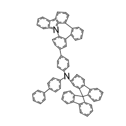 c1ccc(-c2ccc(N(c3ccc(-c4ccc5c(c4)-c4ccccc4-c4cccc6c7ccccc7n-5c46)cc3)c3ccc4c(c3)C3(c5ccccc5-c5ccccc53)c3ccccc3-4)cc2)cc1